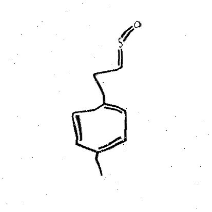 Cc1ccc(CC=S=O)cc1